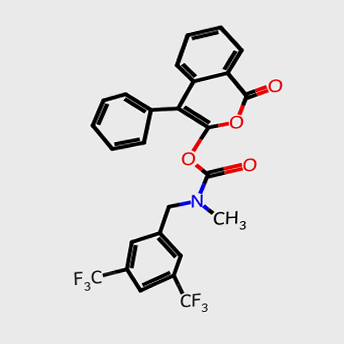 CN(Cc1cc(C(F)(F)F)cc(C(F)(F)F)c1)C(=O)Oc1oc(=O)c2ccccc2c1-c1ccccc1